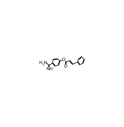 N=C(N)c1ccc(OC(=O)C=Cc2ccccc2)cc1